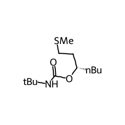 CCCC[C@@H](CCSC)OC(=O)NC(C)(C)C